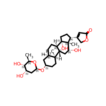 C[C@H]1O[C@@H](O[C@H]2CC[C@@]3(C)[C@H](CC[C@@H]4[C@@H]3C[C@@H](O)[C@]3(C)[C@@H](C5=CC(=O)OC5)CC[C@]43O)C2)C[C@H](O)[C@@H]1O